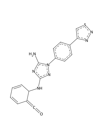 Nc1nc(NC2C=CC=CC2=C=O)nn1-c1ccc(-c2csnn2)cc1